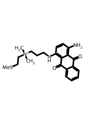 CSCC[N+](C)(C)CCCNc1ccc(N)c2c1C(=O)c1ccccc1C2=O